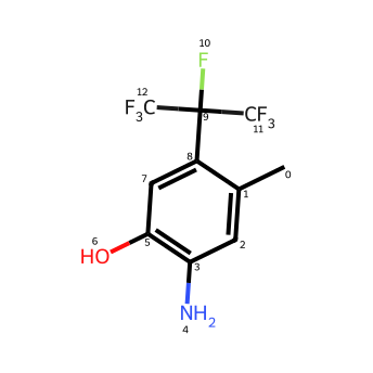 Cc1cc(N)c(O)cc1C(F)(C(F)(F)F)C(F)(F)F